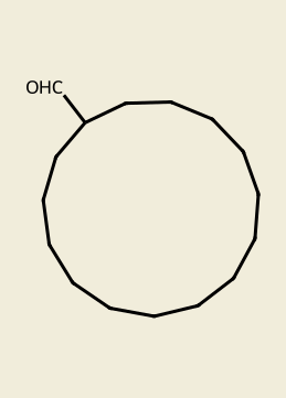 O=CC1CCCCCCCCCCCCCC1